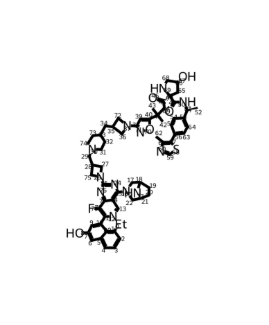 CCc1cccc2cc(O)cc(-c3ncc4c(N5CC6CCC(C5)N6)nc(N5CC(CN6CCC(CC7CN(c8cc(C(C)(C)CC(=O)[C@@]9(C(=O)N[C@@H](C)c%10ccc(-c%11scnc%11C)cc%10)CC(O)CN9)on8)C7)CC6)C5)nc4c3F)c12